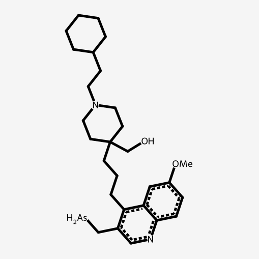 COc1ccc2ncc(C[AsH2])c(CCCC3(CO)CCN(CCC4CCCCC4)CC3)c2c1